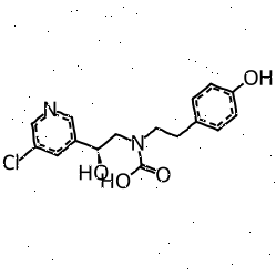 O=C(O)N(CCc1ccc(O)cc1)C[C@@H](O)c1cncc(Cl)c1